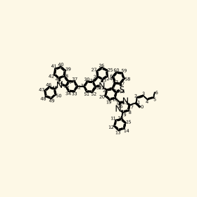 C=C(/C=C\C=C/C)c1cc(-c2ccccc2)nc(-c2ccc(-n3c4ccccc4c4cc(-c5ccc6c(c5)c5ccccc5n6-c5ccccc5)ccc43)c3c2sc2ccccc23)n1